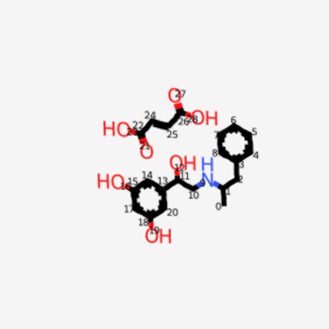 CC(Cc1ccccc1)NCC(O)c1cc(O)cc(O)c1.O=C(O)/C=C/C(=O)O